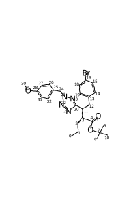 CCC[C@H](C(=O)OC(C)(C)C)[C@H](Cc1ccc(Br)cc1)c1nnn(Cc2ccc(OC)cc2)n1